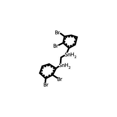 Brc1ccc[c]([SnH2][CH2][SnH2][c]2cccc(Br)c2Br)c1Br